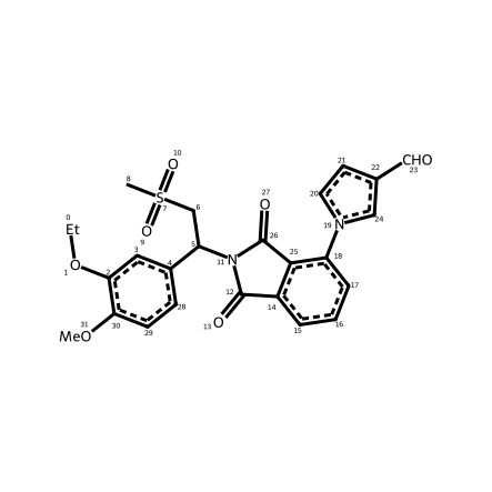 CCOc1cc(C(CS(C)(=O)=O)N2C(=O)c3cccc(-n4ccc(C=O)c4)c3C2=O)ccc1OC